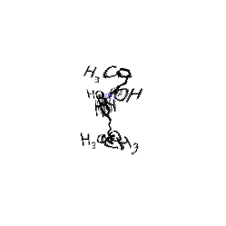 Cc1cccc(CC[C@H](O)/C=C/[C@@H]2[C@H]3CC(CCCCC(=O)N(C)C)=C[C@H]3C[C@H]2O)c1